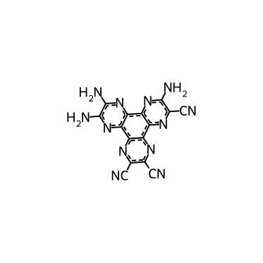 N#Cc1nc2c(nc1N)c1nc(N)c(N)nc1c1nc(C#N)c(C#N)nc21